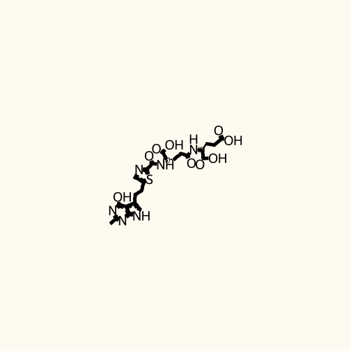 Cc1nc(O)c2c(CCc3cnc(C(=O)N[C@@H](CCC(=O)N[C@@H](CCC(=O)O)C(=O)O)C(=O)O)s3)c[nH]c2n1